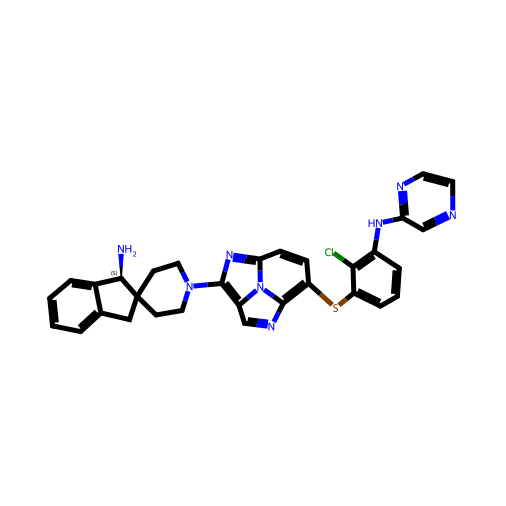 N[C@@H]1c2ccccc2CC12CCN(c1nc3ccc(Sc4cccc(Nc5cnccn5)c4Cl)c4ncc1n34)CC2